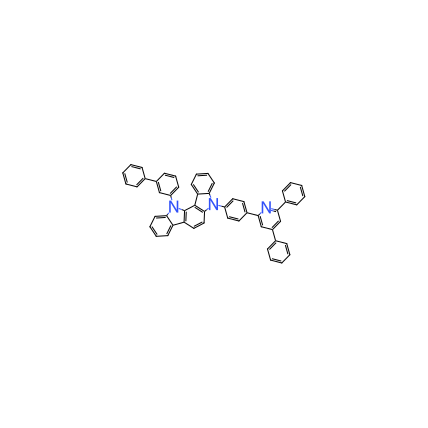 c1ccc(-c2cccc(-n3c4ccccc4c4ccc5c(c6ccccc6n5-c5ccc(-c6cc(-c7ccccc7)cc(-c7ccccc7)n6)cc5)c43)c2)cc1